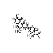 Cc1nc(N2CCC3(CC2)CO[C@@H](C)[C@H]3N)nc(C(O)O)c1-c1cccc(Cl)c1Cl